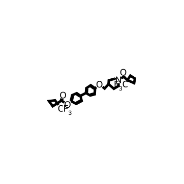 O=C(Oc1ccc(-c2ccc(OCC3CCN(C(=O)C4(C(F)(F)F)CCC4)CC3)cc2)cc1)C1(C(F)(F)F)CCC1